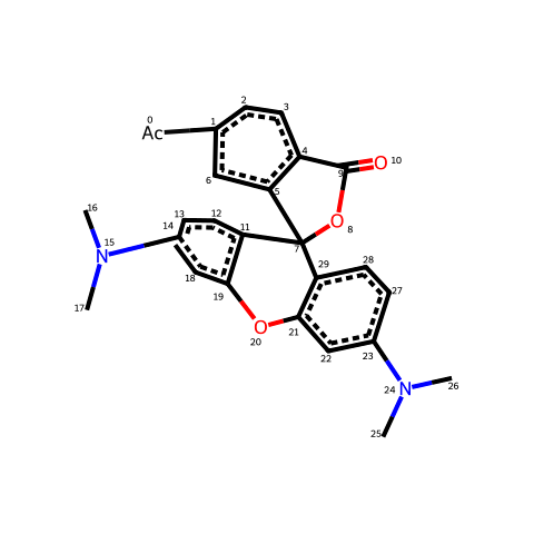 CC(=O)c1ccc2c(c1)C1(OC2=O)c2ccc(N(C)C)cc2Oc2cc(N(C)C)ccc21